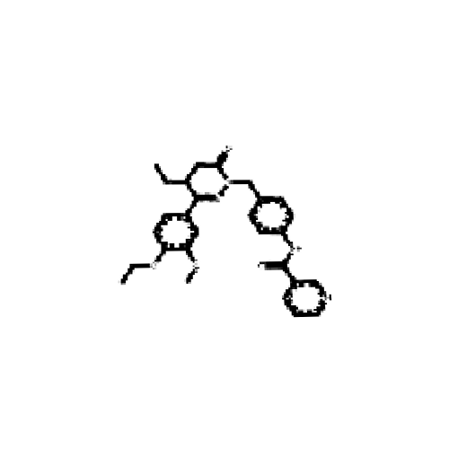 CCOc1ccc(C2=NN(Cc3ccc(NC(=O)c4cccnc4)cc3)C(=O)CC2CC)cc1OC